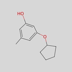 Cc1cc(O)cc(OC2CCCC2)c1